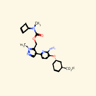 CN(C(=O)OCc1c(-c2ccc(O[C@H]3CCC[C@H](C(=O)O)C3)c(N)n2)cnn1C)C1CCC1